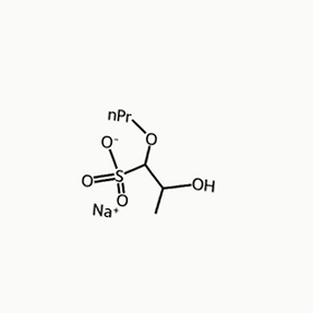 CCCOC(C(C)O)S(=O)(=O)[O-].[Na+]